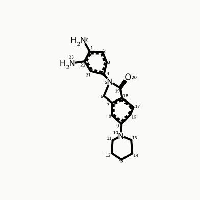 Nc1ccc(N2Cc3cc(N4CCCCC4)ccc3C2=O)cc1N